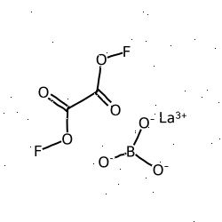 O=C(OF)C(=O)OF.[La+3].[O-]B([O-])[O-]